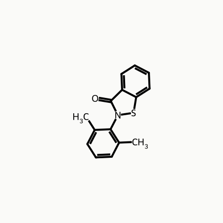 Cc1cccc(C)c1-n1sc2ccccc2c1=O